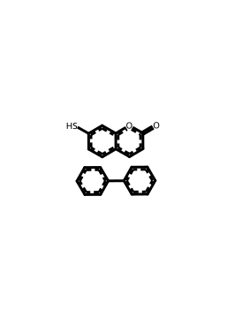 O=c1ccc2ccc(S)cc2o1.c1ccc(-c2ccccc2)cc1